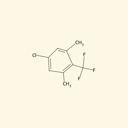 Cc1cc(Cl)cc(C)c1C(F)(F)F